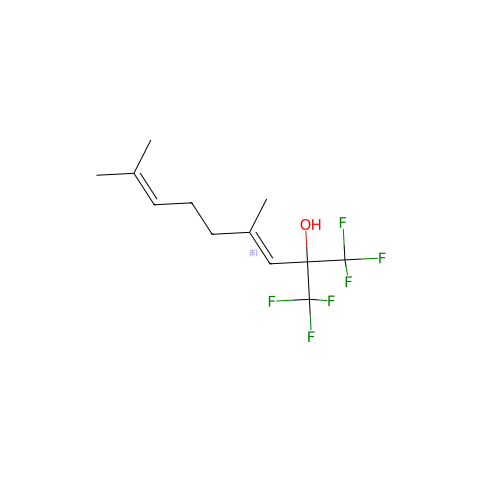 CC(C)=CCC/C(C)=C/C(O)(C(F)(F)F)C(F)(F)F